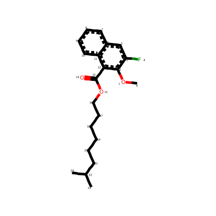 COc1c(F)cc2ccccc2c1C(=O)OCCCCCCC(C)C